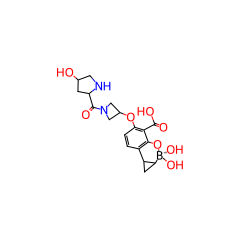 O=C(O)c1c(OC2CN(C(=O)C3CC(O)CN3)C2)ccc2c1O[B-](O)(O)C1CC21